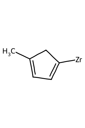 CC1=CC=[C]([Zr])C1